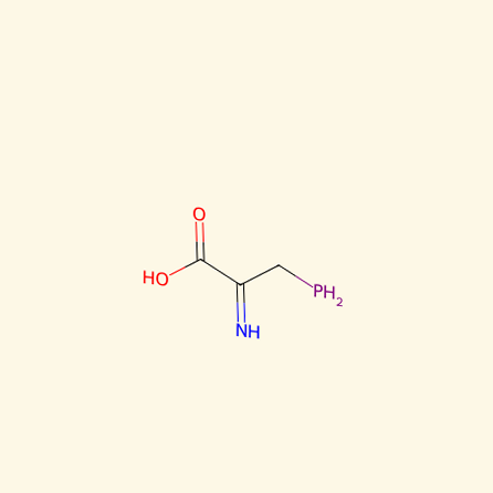 N=C(CP)C(=O)O